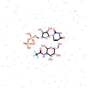 O=C(N[C@H]1C(O)O[C@H](CO)[C@H](O)[C@@H]1O)C(F)(F)F.O=c1ccn([C@@H]2O[C@H](COP(=O)(O)OP(=O)(O)O)[C@@H](O)[C@H]2O)c(=O)[nH]1